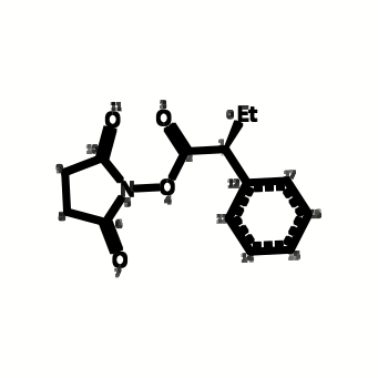 CC[C@H](C(=O)ON1C(=O)CCC1=O)c1ccccc1